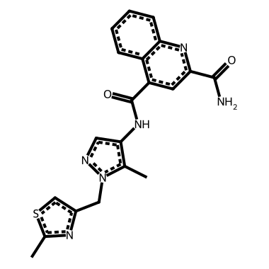 Cc1nc(Cn2ncc(NC(=O)c3cc(C(N)=O)nc4ccccc34)c2C)cs1